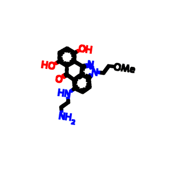 COCCn1nc2c3c(c(NCCN)ccc31)C(=O)c1c(O)ccc(O)c1-2